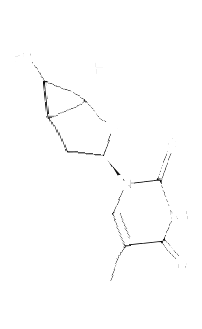 Cc1cn([C@H]2CC3C(O)[C@H]3O2)c(=O)[nH]c1=O